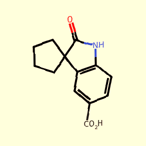 O=C(O)c1ccc2c(c1)C1(CCCC1)C(=O)N2